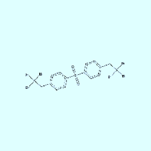 O=S(=O)(c1ccc(CC(Br)(Br)Br)cc1)c1ccc(CC(Br)(Br)Br)cc1